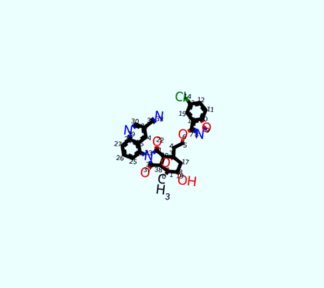 CC12OC(CCOc3noc4ccc(Cl)cc34)(CC1O)C1C(=O)N(c3cccc4ncc(C#N)cc34)C(=O)C12